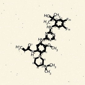 C=CC(=O)Nc1cc(Nc2ncnc(Nc3cc(F)c(F)cc3C(C)(C)O)n2)c(OC)cc1N1CCC[C@@H](N(C)C)C1